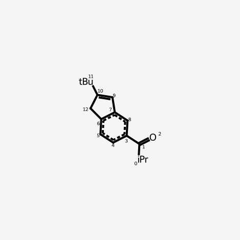 CC(C)C(=O)c1ccc2c(c1)C=C(C(C)(C)C)C2